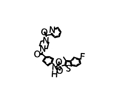 Cc1c(S(=O)(=O)Nc2ccc(C(=O)N3CCN(C(=O)c4ccccn4)CC3)cc2)sc2ccc(F)cc12